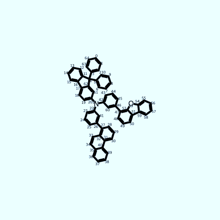 c1ccc(C2(c3ccccc3)c3ccccc3-c3ccc(N(c4cccc(-c5cccc6c5ccc5ccccc56)c4)c4cccc(-c5cccc6c5oc5ccccc56)c4)cc32)cc1